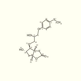 CSc1ccc(OCC(O)CO[C@H]2[C@@H]3CC(=O)O[C@@H]3C[C@@H]2O)cc1